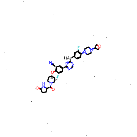 N#Cc1cc(-c2ncnc([AsH]c3ccc(N4CCN(C5COC5)CC4)c(F)c3)n2)ccc1O[C@H]1CCN(C(=O)C2CCC(=O)N2)C[C@H]1F